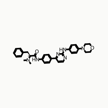 CN(C)[C@@H](Cc1ccccc1)C(=O)Nc1ccc(-c2ccnc(Nc3ccc(N4CCOCC4)cc3)n2)cc1